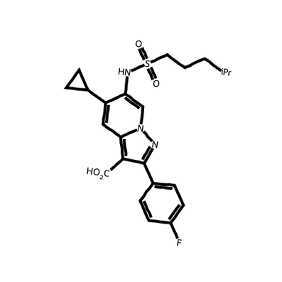 CC(C)CCCS(=O)(=O)Nc1cn2nc(-c3ccc(F)cc3)c(C(=O)O)c2cc1C1CC1